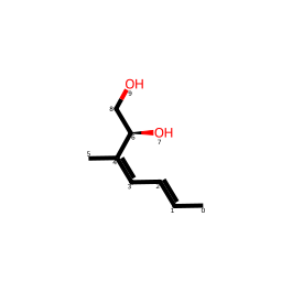 CC=CC=C(C)[C@H](O)CO